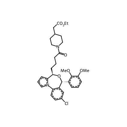 CCOC(=O)CC1CCN(C(=O)CCC[C@H]2O[C@H](c3cccc(OC)c3OC)c3cc(Cl)ccc3-n3cccc32)CC1